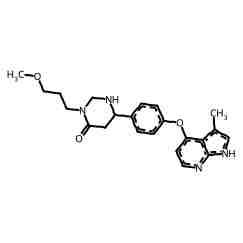 COCCCN1CNC(c2ccc(Oc3ccnc4[nH]cc(C)c34)cc2)CC1=O